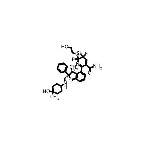 C[C@H]1c2c(cccc2C2=NC(F)(OCCO)C(F)(Cl)C=C2C(N)=O)O[C@]1(CNC1CCC(C)(O)CC1)c1ccccc1